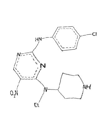 CCN(c1nc(Nc2ccc(Cl)cc2)ncc1[N+](=O)[O-])C1CCNCC1